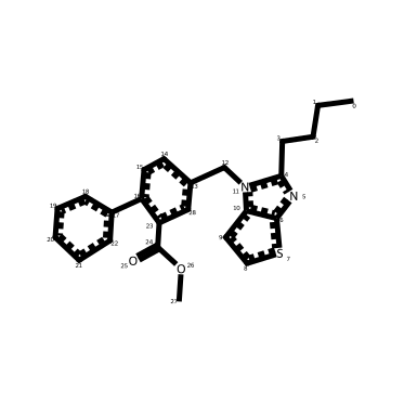 CCCCc1nc2sccc2n1Cc1ccc(-c2ccccc2)c(C(=O)OC)c1